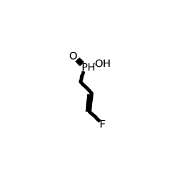 O=[PH](O)CC=CF